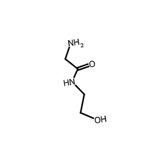 NCC(=O)NCCO